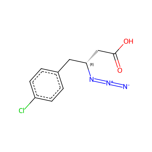 [N-]=[N+]=N[C@@H](CC(=O)O)Cc1ccc(Cl)cc1